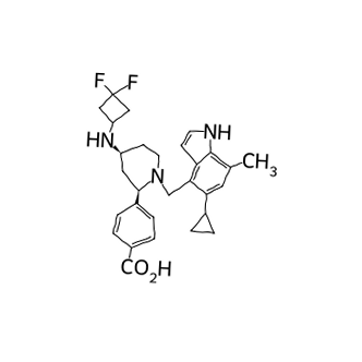 Cc1cc(C2CC2)c(CN2CC[C@H](NC3CC(F)(F)C3)C[C@@H]2c2ccc(C(=O)O)cc2)c2cc[nH]c12